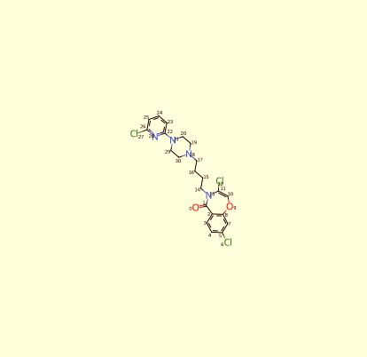 O=C1c2ccc(Cl)cc2OC=C(Cl)N1CCCCN1CCN(c2cccc(Cl)n2)CC1